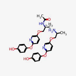 CC(=O)N[C@@H](C)COc1ccc(Oc2ccc(O)cc2)nc1.CC(N)COc1ccc(Oc2ccc(O)cc2)nc1